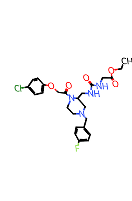 CCOC(=O)CNC(=O)NCC1CN(Cc2ccc(F)cc2)CCN1C(=O)COc1ccc(Cl)cc1